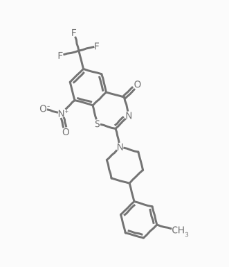 Cc1cccc(C2CCN(c3nc(=O)c4cc(C(F)(F)F)cc([N+](=O)[O-])c4s3)CC2)c1